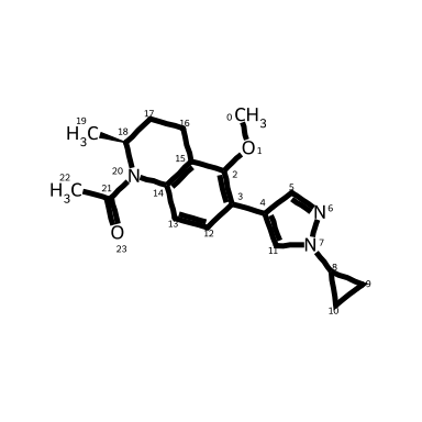 COc1c(-c2cnn(C3CC3)c2)ccc2c1CC[C@H](C)N2C(C)=O